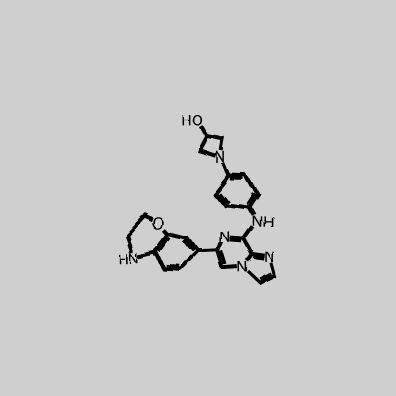 OC1CN(c2ccc(Nc3nc(-c4ccc5c(c4)OCCN5)cn4ccnc34)cc2)C1